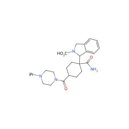 CC(C)N1CCN(C(=O)C2CCC(C(N)=O)(C3c4ccccc4CN3C(=O)O)CC2)CC1